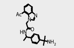 CC(=O)c1cccc2ncn(CC(=O)NC(C)c3ccc(C(C)(C)N)cc3)c12